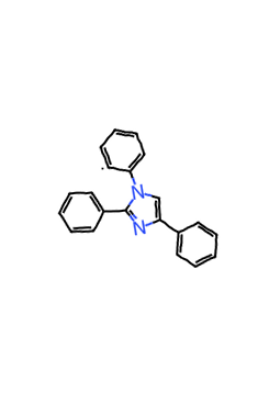 [c]1ccccc1-n1cc(-c2ccccc2)nc1-c1ccccc1